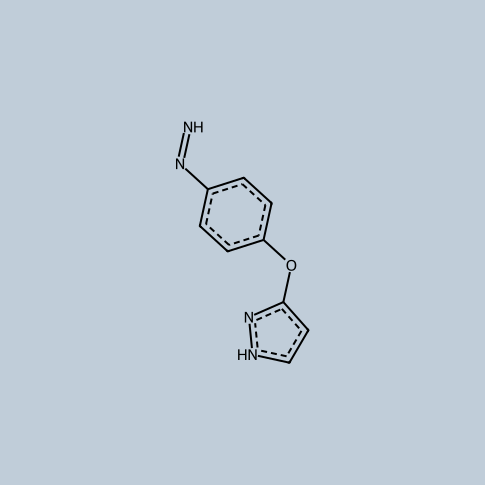 N=Nc1ccc(Oc2cc[nH]n2)cc1